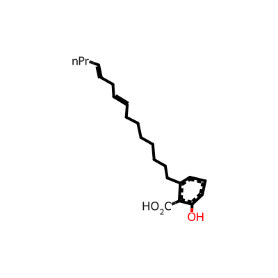 CCCC=CCC=CCCCCCCCc1cccc(O)c1C(=O)O